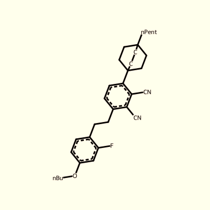 CCCCCC12CCC(c3ccc(CCc4ccc(OCCCC)cc4F)c(C#N)c3C#N)(CC1)CC2